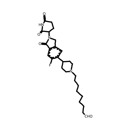 O=CCCCCCCCCN1CCC(c2cc3c(cc2F)C(=O)N(C2CCC(=O)NC2=O)C3)CC1